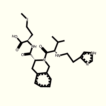 CSCC[C@@H](NC(=O)[C@H]1Cc2ccccc2CN1C(=O)[C@@H](NCCc1c[nH]cn1)C(C)C)C(=O)O